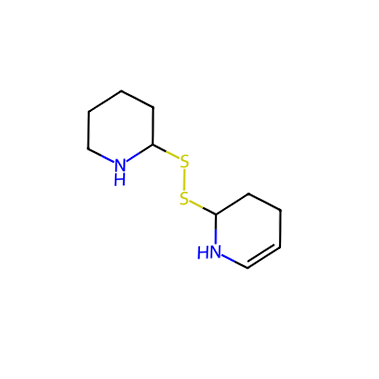 C1=CNC(SSC2CCCCN2)CC1